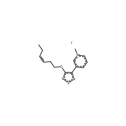 CC/C=C\CCOc1nsnc1-c1ccc[n+](C)c1.[I-]